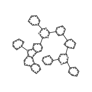 c1ccc(-c2cc(-c3cccc(-c4cccc(-c5nc(-c6ccccc6)nc(-c6ccc7c8c9ccccc9ccc8n(-c8ccccc8)c7c6)n5)c4)c3)nc(-c3ccccc3)n2)cc1